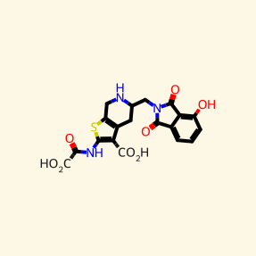 O=C(O)C(=O)Nc1sc2c(c1C(=O)O)CC(CN1C(=O)c3cccc(O)c3C1=O)NC2